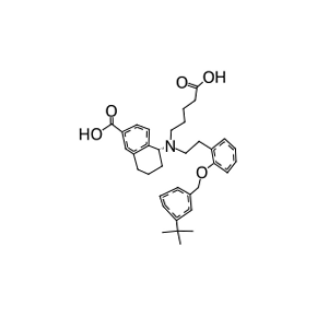 CC(C)(C)c1cccc(COc2ccccc2CCN(CCCCC(=O)O)[C@@H]2CCCc3cc(C(=O)O)ccc32)c1